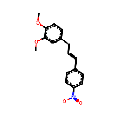 COc1ccc(CC=Cc2ccc([N+](=O)[O-])cc2)cc1OC